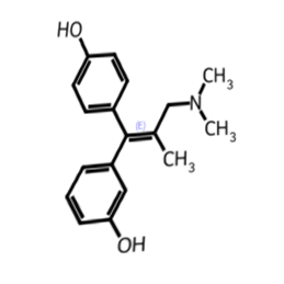 C/C(CN(C)C)=C(/c1ccc(O)cc1)c1cccc(O)c1